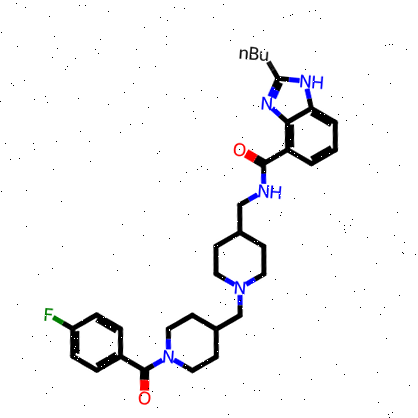 CCCCc1nc2c(C(=O)NCC3CCN(CC4CCN(C(=O)c5ccc(F)cc5)CC4)CC3)cccc2[nH]1